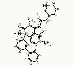 Nc1ccc2c3c(c(C(=O)NC4CCCNC4)sc13)C(N)C(=O)C2(N)c1cccc(-c2ccncc2)c1